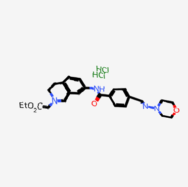 CCOC(=O)CN1CCc2ccc(NC(=O)c3ccc(C=NN4CCOCC4)cc3)cc2C1.Cl.Cl